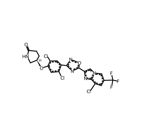 O=C1CC[C@@H](Oc2cc(Cl)c(-c3noc(-c4cn5cc(C(F)(F)F)cc(Cl)c5n4)n3)cc2Cl)CN1